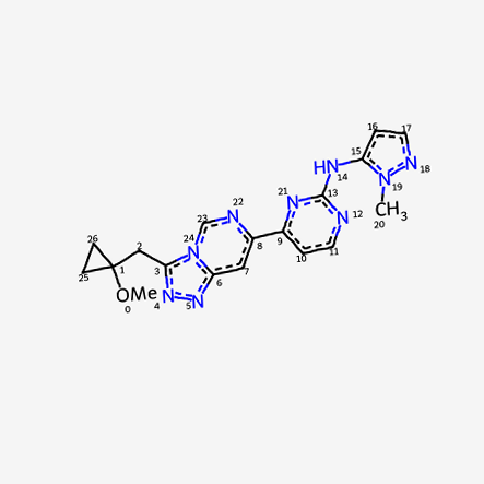 COC1(Cc2nnc3cc(-c4ccnc(Nc5ccnn5C)n4)ncn23)CC1